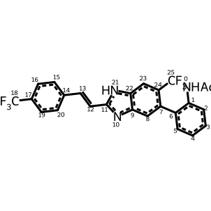 CC(=O)Nc1ccccc1-c1cc2nc(/C=C/c3ccc(C(F)(F)F)cc3)[nH]c2cc1C(F)(F)F